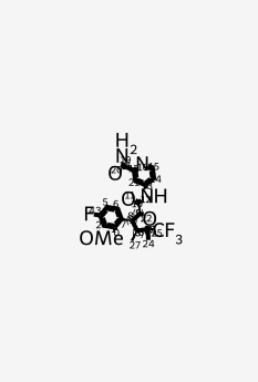 COc1cc(F)ccc1[C@H]1[C@@H](C(=O)Nc2ccnc(C(N)=O)c2)O[C@@](C)(C(F)(F)F)[C@H]1C